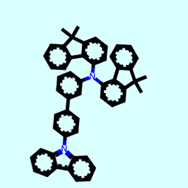 CC1(C)c2ccccc2-c2c(N(c3cccc(-c4ccc(-n5c6ccccc6c6ccccc65)cc4)c3)c3cccc4c3-c3ccccc3C4(C)C)cccc21